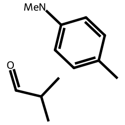 CC(C)C=O.CNc1ccc(C)cc1